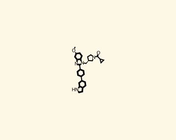 COc1ccc2c(c1)nc(-c1ccc(-c3ccc4cc[nH]c4c3)cc1)n2C[C@H]1CCN(C(=O)C2CC2)C1